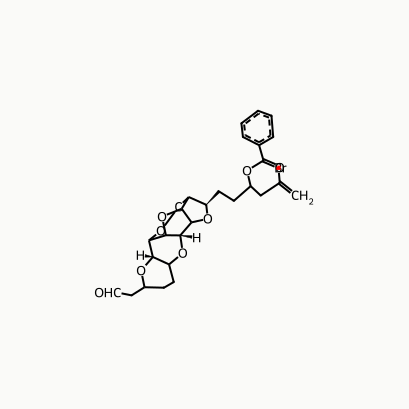 C=C(Br)CC(CC[C@H]1OC2C3OC4C(OCC31)[C@H]1OC(CC=O)CCC1O[C@@H]24)OC(=O)c1ccccc1